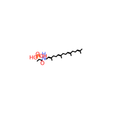 CC(C)=CCC/C(C)=C/CC/C(C)=C/CC/C(C)=C/CNC(=O)C(C)P(=O)(O)O